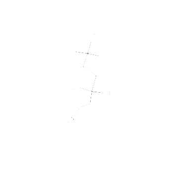 CN(C)CCC(C)(C)CCC(C)(C)C